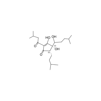 CC(C)CCC(O)[C@]1(O)C(O)=C(C(=O)CC(C)C)C(=O)[C@H]1CCC(C)C